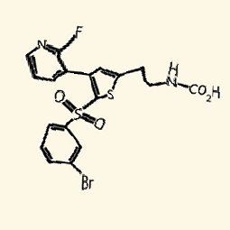 O=C(O)NCCc1cc(-c2cccnc2F)c(S(=O)(=O)c2cccc(Br)c2)s1